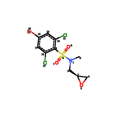 CN(C[C@H]1CO1)S(=O)(=O)c1c(Cl)cc(Br)cc1Cl